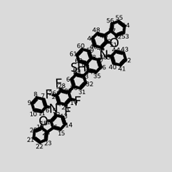 Fc1c(F)c(N(c2ccccc2)c2cccc3c2oc2ccccc23)c(F)c(F)c1-c1ccc(-c2ccc(N(c3ccccc3)c3cccc4c3oc3ccccc34)c3ccccc23)c(S)c1